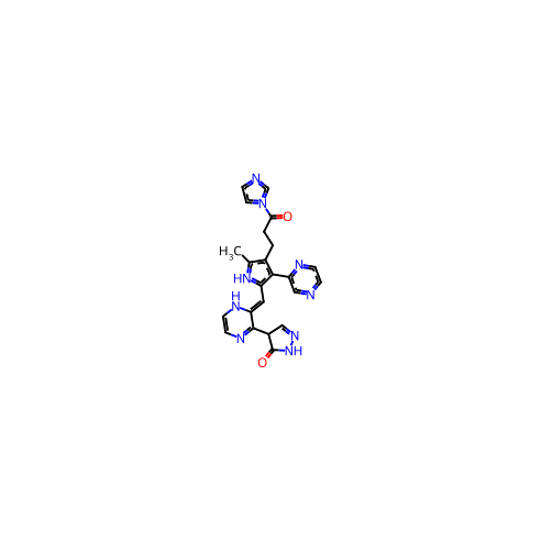 Cc1[nH]c(C=C2NC=CN=C2C2C=NNC2=O)c(-c2cnccn2)c1CCC(=O)n1ccnc1